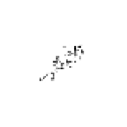 CC(=O)CNc1cc(C(C)(C)CC2(OC=O)CCOC2)no1